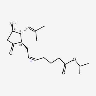 CC(C)=C[C@H]1[C@H](O)CC(=O)[C@@H]1C/C=C\CCCC(=O)OC(C)C